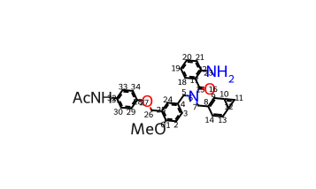 COc1ccc(CN(CC2=CC3=CC3C=C2)C(=O)c2ccccc2N)cc1COc1ccc(NC(C)=O)cc1